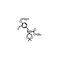 CCCCCCCOc1ccc(CCC2(NC(=O)OC(C)(C)C)COC(C)(C)OC2)cc1CF